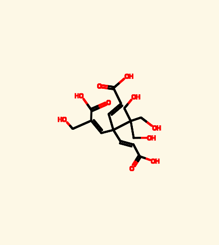 O=C(O)C=CC(C=CC(=O)O)(C=C(CO)C(=O)O)C(CO)(CO)CO